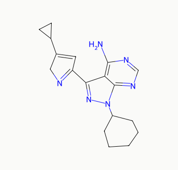 Nc1ncnc2c1c(C1=NCC(C3CC3)=C1)nn2C1CCCCC1